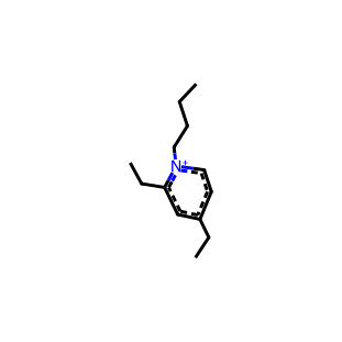 CCCC[n+]1ccc(CC)cc1CC